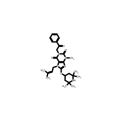 CC(C)=CCn1c(OC2CC(C)(C)NC(C)(C)C2)nc2c1c(=O)n(CC(=O)c1ccccc1)c(=O)n2C